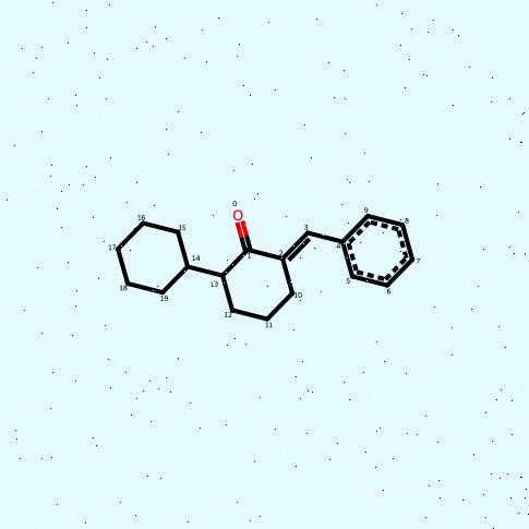 O=C1C(=Cc2ccccc2)CCCC1C1CCCCC1